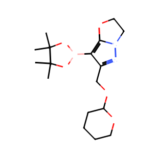 CC1(C)OB(c2c(COC3CCCCO3)nn3c2OCC3)OC1(C)C